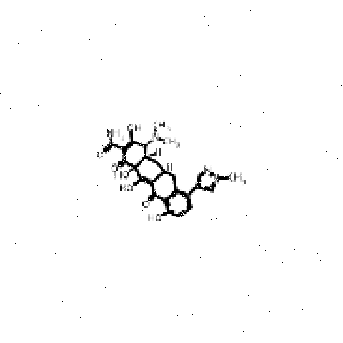 CN(C)[C@@H]1C(O)=C(C(N)=O)C(=O)[C@@]2(O)C(O)=C3C(=O)c4c(O)ccc(-c5cnn(C)c5)c4C[C@H]3C[C@@H]12